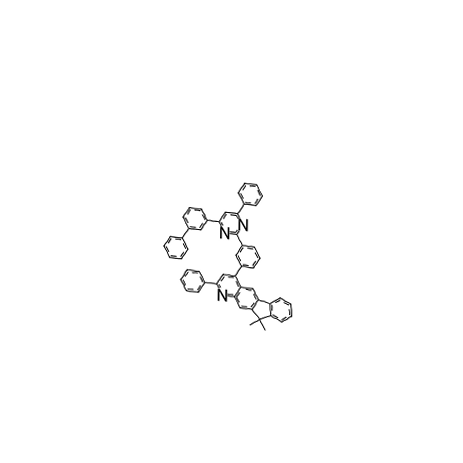 CC1(C)c2ccccc2-c2cc3c(-c4cccc(-c5nc(-c6ccccc6)cc(-c6cccc(-c7ccccc7)c6)n5)c4)cc(-c4ccccc4)nc3cc21